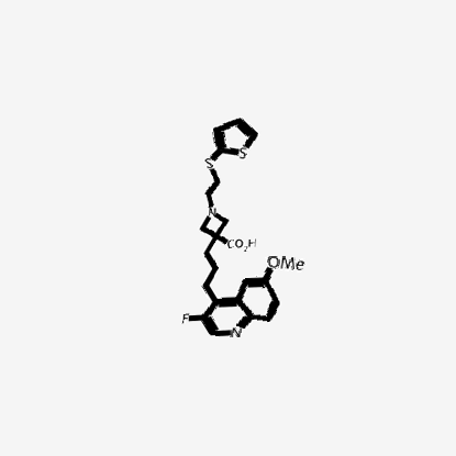 COc1ccc2ncc(F)c(CCCC3(C(=O)O)CN(CCSc4cccs4)C3)c2c1